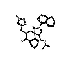 CC(C)NCC1CN(c2cncc3ccccc23)C(=O)C12CN(Cc1cn(C)nn1)C(=O)c1ccccc12